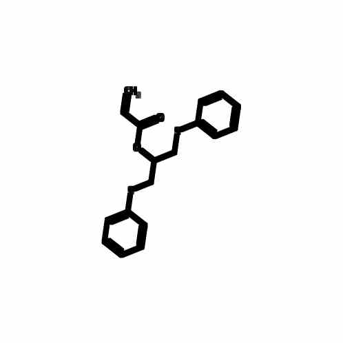 C=CC(=O)OC(CSc1ccccc1)CSc1ccccc1